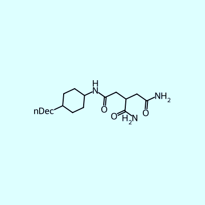 CCCCCCCCCCC1CCC(NC(=O)CC(CC(N)=O)C(N)=O)CC1